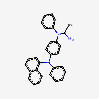 CCCCC(N)N(c1ccccc1)c1ccc(N(c2ccccc2)c2cccc3ccccc23)cc1